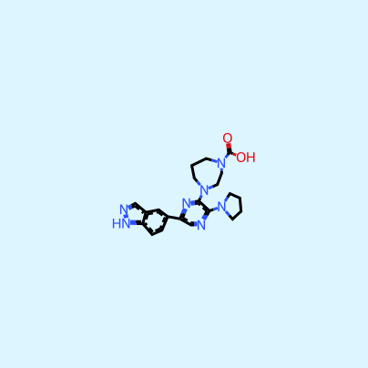 O=C(O)N1CCCN(c2nc(-c3ccc4[nH]ncc4c3)cnc2N2CCCC2)CC1